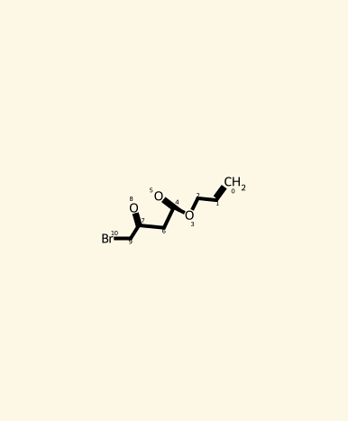 C=CCOC(=O)CC(=O)CBr